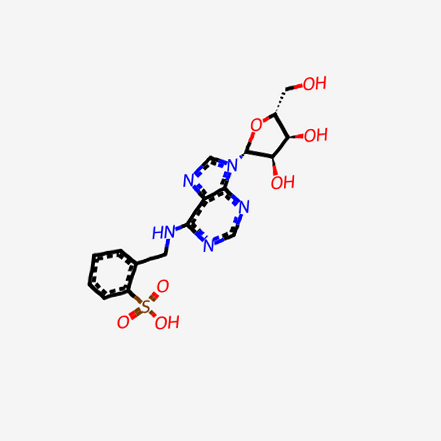 O=S(=O)(O)c1ccccc1CNc1ncnc2c1ncn2[C@@H]1O[C@H](CO)[C@@H](O)[C@H]1O